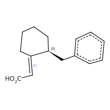 O=C(O)/C=C1\CCCC[C@H]1Cc1ccccc1